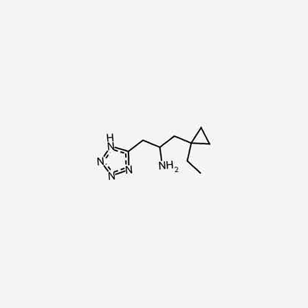 CCC1(CC(N)Cc2nnn[nH]2)CC1